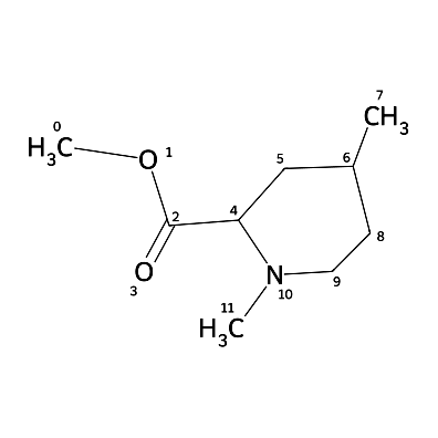 COC(=O)C1CC(C)CCN1C